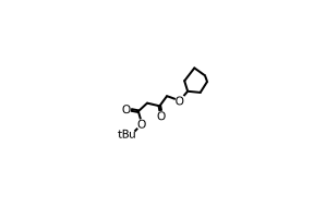 CC(C)(C)OC(=O)CC(=O)COC1CCCCC1